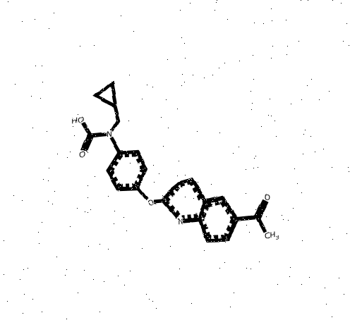 CC(=O)c1ccc2nc(Oc3ccc(N(CC4CC4)C(=O)O)cc3)ccc2c1